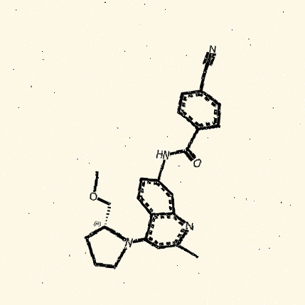 COC[C@H]1CCCN1c1cc(C)nc2cc(NC(=O)c3ccc(C#N)cc3)ccc12